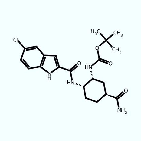 CC(C)(C)OC(=O)N[C@@H]1C[C@@H](C(N)=O)CC[C@@H]1NC(=O)c1cc2cc(Cl)ccc2[nH]1